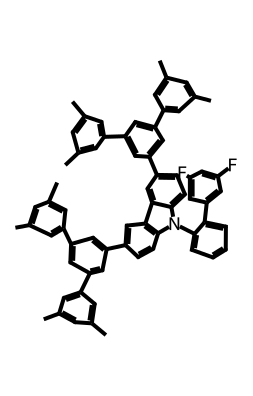 Cc1cc(C)cc(-c2cc(-c3cc(C)cc(C)c3)cc(-c3ccc4c(c3)c3cc(-c5cc(-c6cc(C)cc(C)c6)cc(-c6cc(C)cc(C)c6)c5)ccc3n4-c3ccccc3-c3cc(F)cc(F)c3)c2)c1